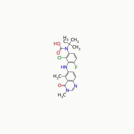 Cc1c(Nc2c(F)ccc(N(C(=O)O)C(C)(C)C)c2Cl)ccc2ncn(C)c(=O)c12